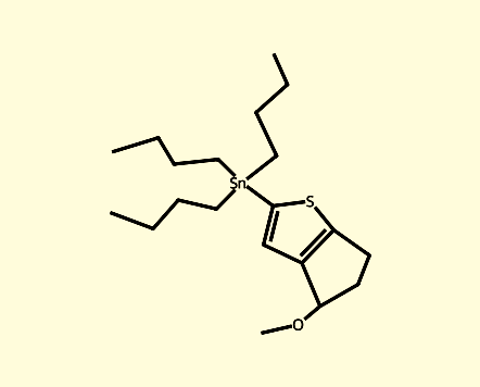 CCC[CH2][Sn]([CH2]CCC)([CH2]CCC)[c]1cc2c(s1)CCC2OC